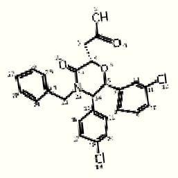 O=C(O)C[C@@H]1O[C@@H](c2cccc(Cl)c2)[C@@H](c2ccc(Cl)cc2)N(Cc2ccccc2)C1=O